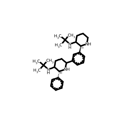 CC(C)(C)NC1CCC(c2cccc([C@@H]3NCCCC3NC(C)(C)C)c2)N[C@@H]1c1ccccc1